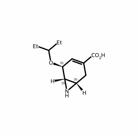 CCC(CC)O[C@H]1C=C(C(=O)O)C[C@@H]2N[C@@H]21